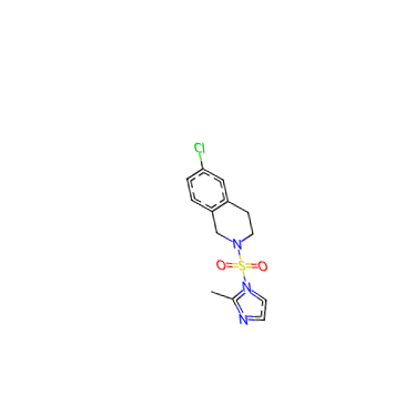 Cc1nccn1S(=O)(=O)N1CCc2cc(Cl)ccc2C1